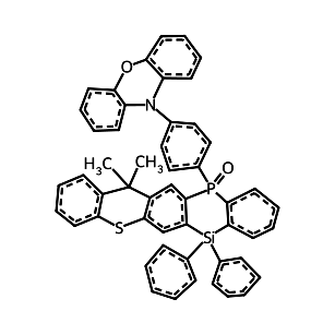 CC1(C)c2ccccc2Sc2cc3c(cc21)P(=O)(c1ccc(N2c4ccccc4Oc4ccccc42)cc1)c1ccccc1[Si]3(c1ccccc1)c1ccccc1